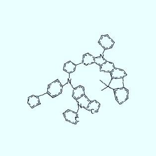 CC1(C)c2ccccc2-c2ccc3cc4c(cc3c21)c1cc(-c2cccc(N(c3ccc(-c5ccccc5)cc3)c3ccc5c6ccccc6n(-c6ccccc6)c5c3)c2)ccc1n4-c1ccccc1